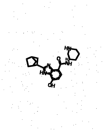 O=C(N[C@H]1CCCNC1)c1ccc(O)c2[nH]c(C3CC4CCC3C4)nc12